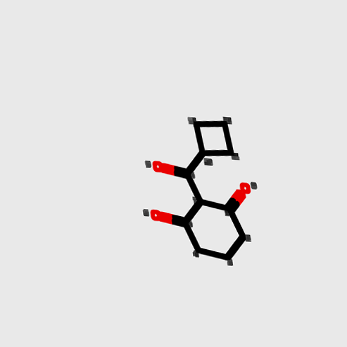 O=C1CCCC(=O)C1C(=O)C1CCC1